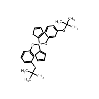 CC(C)(C)Sc1cccc([O][Zr]([O]c2cccc(SC(C)(C)C)c2)([C]2=CC=CC2)[C]2=CC=CC2)c1